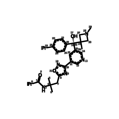 CC(C)C(=O)NC(C)(C)Cc1nc(-c2cncc([C@@](O)(c3ccc(C(C)C)cc3)C3(C)CN(C)C3)c2)no1